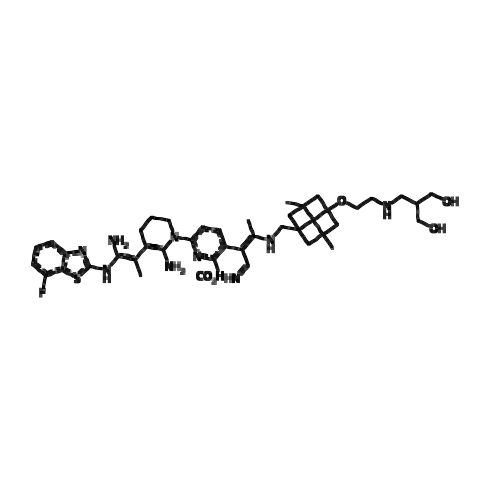 C/C(NCC12CC3(C)CC4(OCCNCC(CO)CO)CC(C)(C1)C324)=C(/C=N)c1ccc(N2CCCC(/C(C)=C(\N)Nc3nc4cccc(F)c4s3)=C2N)nc1C(=O)O